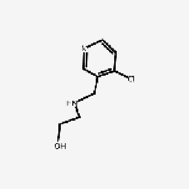 OCCNCc1cnccc1Cl